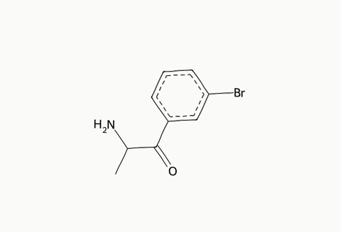 CC(N)C(=O)c1cccc(Br)c1